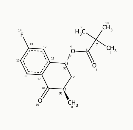 C[C@@H]1C[C@@H](OC(=O)C(C)(C)C)c2cc(F)ccc2C1=O